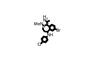 CNN1CCC(Nc2ccc(Cl)cc2)c2cc(Br)ccc2/C1=C(\C)N